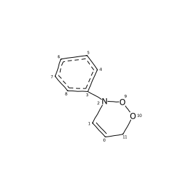 C1=CN(c2ccccc2)OOC1